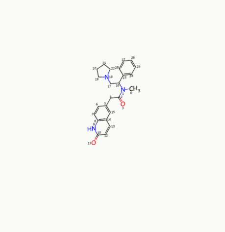 CN(C(=O)Cc1ccc2[nH]c(=O)ccc2c1)C(CN1CCCC1)c1ccccc1